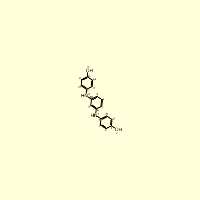 Oc1ccc(Nc2cccc(Nc3ccc(O)cc3)c2)cc1